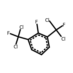 Fc1c(C(F)(Cl)Cl)cccc1C(F)(Cl)Cl